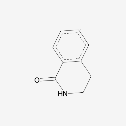 O=C1NCCc2c[c]ccc21